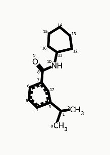 CC(C)c1cccc(C(=O)NC2CCCCC2)c1